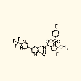 CC1C(F)CC(C(=O)NCc2cc(-c3cnc(C(F)(F)F)nc3)cnc2C2CC2)N1S(=O)(=O)c1ccc(F)cc1